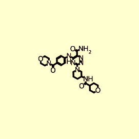 NC(=O)c1nnc(N2CCCC(NC(=O)C3CCOCC3)C2)nc1Nc1ccc(C(=O)N2CCOCC2)cc1